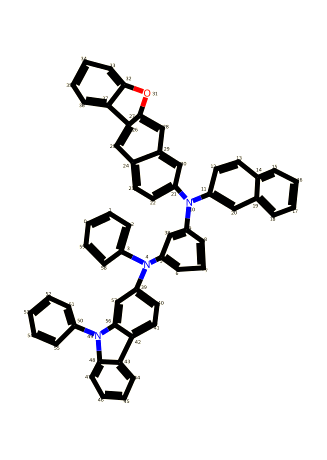 c1ccc(N(c2cccc(N(c3ccc4ccccc4c3)c3ccc4cc5c(cc4c3)oc3ccccc35)c2)c2ccc3c4ccccc4n(-c4ccccc4)c3c2)cc1